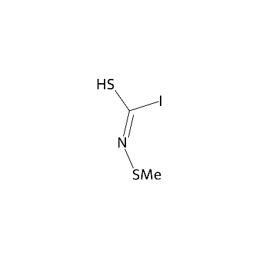 CSN=C(S)I